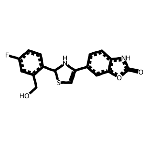 O=c1[nH]c2ccc(C3=CSC(c4ccc(F)cc4CO)N3)cc2o1